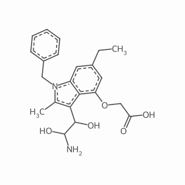 CCc1cc(OCC(=O)O)c2c(C(O)C(N)O)c(C)n(Cc3ccccc3)c2c1